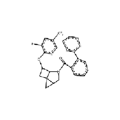 O=C(c1ccccc1-c1ncccn1)N1CC2CC23CC(Oc2ncc(C(F)(F)F)cc2F)C13